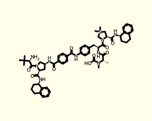 C[C@@H](C(=O)N[C@@H](Cc1ccc(NC(=O)c2ccc(C(=O)N[C@H]3C[C@@H](C(=O)N[C@@H]4CCCc5ccccc54)N(C(=O)[C@@H](N)C(C)(C)C)C3)cc2)cc1)C(=O)N1C[Si](C)(C)C[C@H]1C(=O)N[C@@H]1CCCc2ccccc21)N(C)C(=O)O